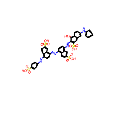 O=S(=O)(O)c1ccc(N=Nc2ccc(N=Nc3ccc(N=Nc4c(S(=O)(=O)O)cc5cc(Nc6ccccc6)ccc5c4O)c4cc(S(=O)(=O)O)ccc34)c3cc(S(=O)(=O)O)ccc23)cc1